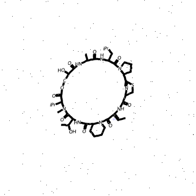 C/C=C1\NC(=O)C2CSC(=N2)C2CCCN2C(=O)C(CC(C)C)NC(=O)C(C)NC(=O)C(O)COC(=O)C(C(C)C)N(C)C(=O)C(C(C)O)NC(=O)C2CCCCN2C1=O